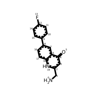 NCc1cc(=O)c2cc(-c3ccc(F)cc3)ccc2[nH]1